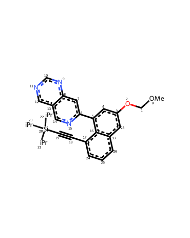 COCOc1cc(-c2cc3ncncc3cn2)c2c(C#C[Si](C(C)C)(C(C)C)C(C)C)cccc2c1